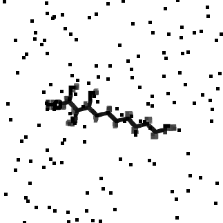 OC(F)C(F)C(F)CCCCCCCF